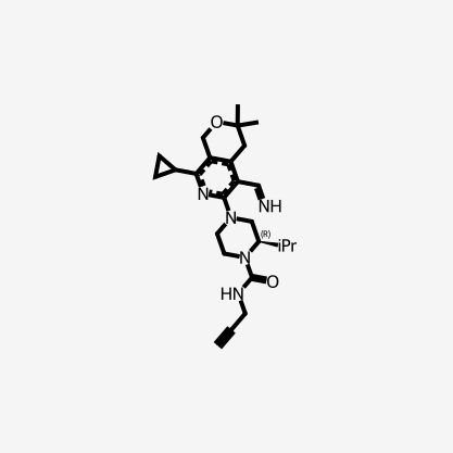 C#CCNC(=O)N1CCN(c2nc(C3CC3)c3c(c2C=N)CC(C)(C)OC3)C[C@H]1C(C)C